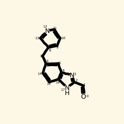 O=Cc1nc2cc(Cc3cccnc3)ccc2[nH]1